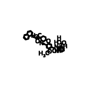 COc1cc(C#N)c(O[C@H]2CC[C@@](C)(C(=O)OCc3cccc4ccccc34)CC2)cc1C(O)N[C@H]1[C@@H](C(=O)O)[C@@H]2C=C[C@H]1C2